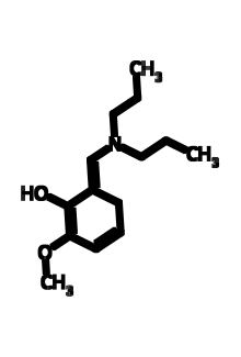 CCCN(C=C1CC=CC(OC)=C1O)CCC